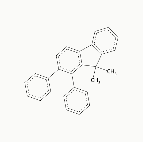 CC1(C)c2ccccc2-c2ccc(-c3ccccc3)c(-c3ccccc3)c21